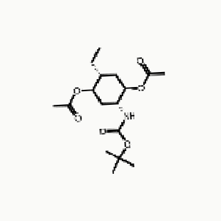 CC[C@@H]1C[C@@H](OC(C)=O)[C@H](NC(=O)OC(C)(C)C)C[C@H]1OC(C)=O